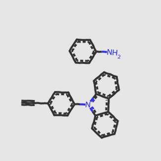 C#Cc1ccc(-n2c3ccccc3c3ccccc32)cc1.Nc1ccccc1